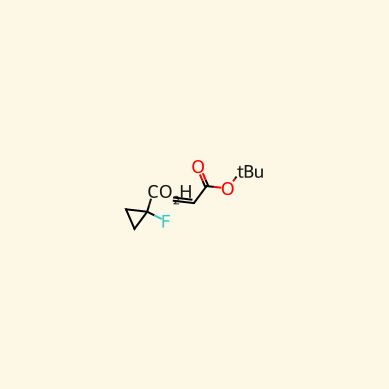 C=CC(=O)OC(C)(C)C.O=C(O)C1(F)CC1